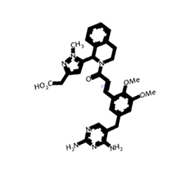 COc1cc(Cc2cnc(N)nc2N)cc(/C=C/C(=O)N2CCc3ccccc3C2c2cc(CC(=O)O)nn2C)c1OC